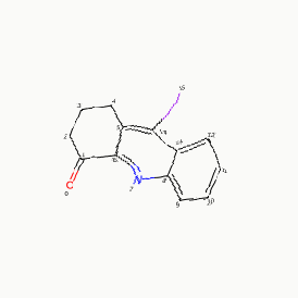 O=C1CCCc2c1nc1ccccc1c2I